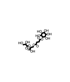 C[C@H](O)C(COC(=O)CCC(=O)O[C@@H]1C(O)C(O)[C@@H](O)[C@@H](O)C1O)O[C@@H](O)[C@@H](O)CO